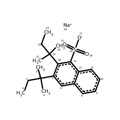 CCC(C)(C)c1cc2ccccc2c(S(=O)(=O)[O-])c1C(C)(C)CC.[Na+]